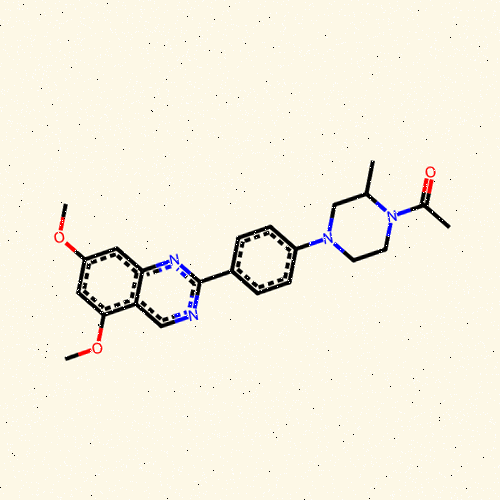 COc1cc(OC)c2cnc(-c3ccc(N4CCN(C(C)=O)C(C)C4)cc3)nc2c1